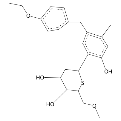 CCOc1ccc(Cc2cc(C3CC(O)C(O)C(COC)S3)c(O)cc2C)cc1